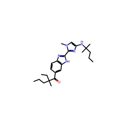 CCCC(C)(C)Nc1cn(C)c(-c2nc3ccc(C(=O)C(C)(CC)CCC)cc3[nH]2)n1